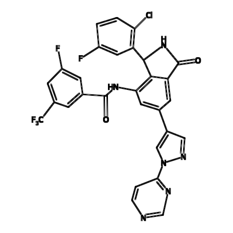 O=C(Nc1cc(-c2cnn(-c3ccncn3)c2)cc2c1C(c1cc(F)ccc1Cl)NC2=O)c1cc(F)cc(C(F)(F)F)c1